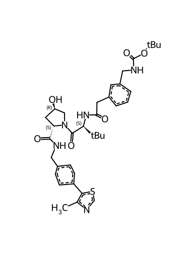 Cc1ncsc1-c1ccc(CNC(=O)[C@@H]2C[C@@H](O)CN2C(=O)[C@@H](NC(=O)Cc2cccc(CNC(=O)OC(C)(C)C)c2)C(C)(C)C)cc1